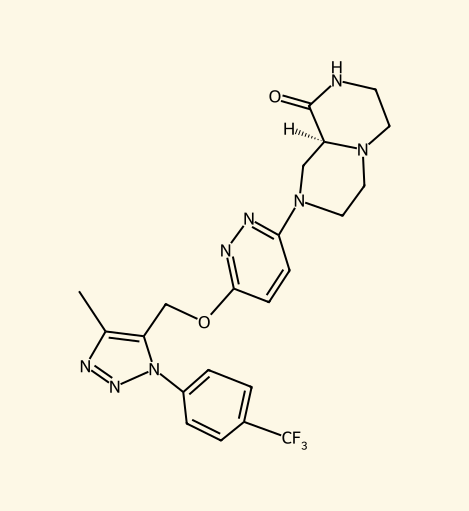 Cc1nnn(-c2ccc(C(F)(F)F)cc2)c1COc1ccc(N2CCN3CCNC(=O)[C@@H]3C2)nn1